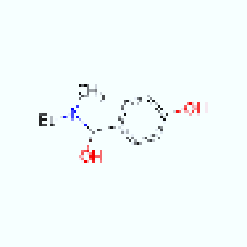 CCN(C)C(O)c1ccc(O)cc1